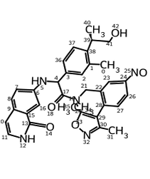 Cc1cc(C(Nc2ccc3cc[nH]c(=O)c3c2)C(=O)N(C)Cc2cc(N=O)ccc2-c2c(C)noc2C)ccc1[C@@H](C)CO